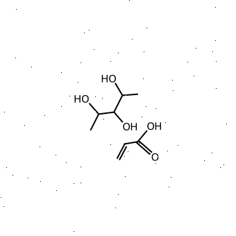 C=CC(=O)O.CC(O)C(O)C(C)O